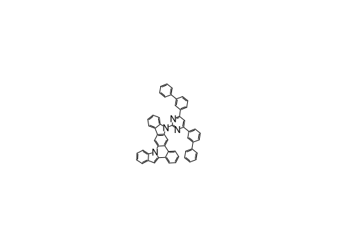 c1ccc(-c2cccc(-c3cc(-c4cccc(-c5ccccc5)c4)nc(-n4c5ccccc5c5cc6c(cc54)c4ccccc4c4cc5ccccc5n46)n3)c2)cc1